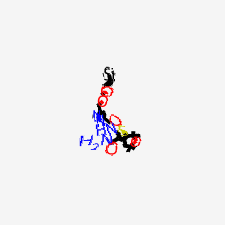 Cn1nc(C(=O)Nc2sc3c(c2C(N)=O)CC(C)(C)OC3(C)C)cc1COCOCC[Si](C)(C)C